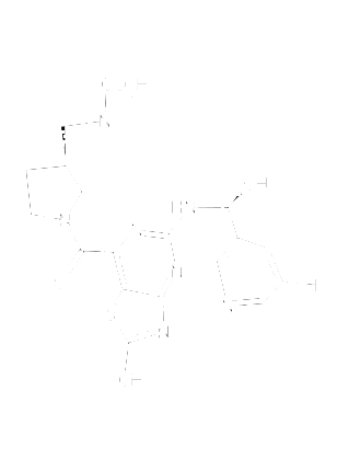 Cc1nc2nc(N[C@@H](C)c3cncc(F)c3)nc(C(=O)N3CC[C@@H](CNC(=O)O)C3)c2s1